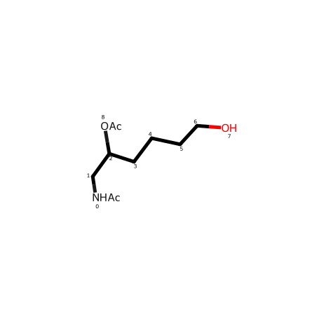 CC(=O)NCC(CCCCO)OC(C)=O